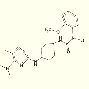 CCN(C(=O)NC1CCC(Nc2ncc(C)c(N(C)C)n2)CC1)c1ccccc1OC(F)(F)F